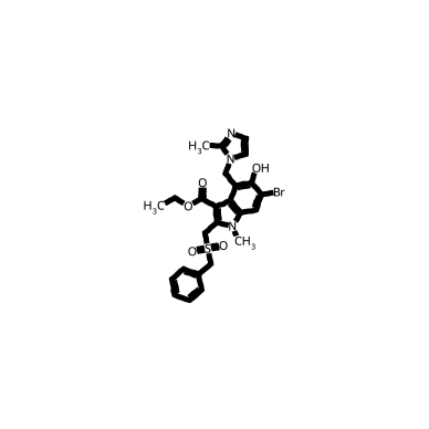 CCOC(=O)c1c(CS(=O)(=O)Cc2ccccc2)n(C)c2cc(Br)c(O)c(Cn3ccnc3C)c12